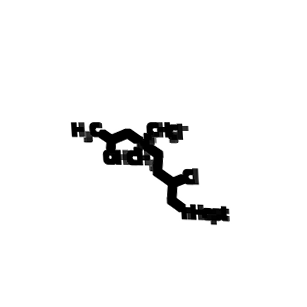 CCCCCCCCC(Cl)CC[N+](C)(C)CC(C)O.[Cl-]